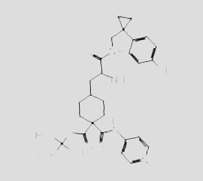 CC(C)(C)OC(=O)C1(C(=O)Nc2ccncc2)CCC(CC(N)C(=O)NCC2(c3ccc(Cl)cc3)CC2)CC1